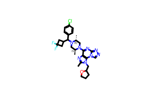 Cc1nc2c(N3C[C@@H](C)N(C(c4ccc(Cl)cc4)C4CC(F)(F)C4)C[C@@H]3C)nc3nncn3c2n1CC1CCCO1